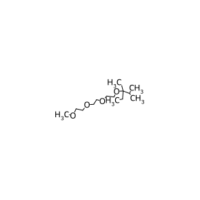 CCC(CC)(OCCOCCOCCOC)C(C)C